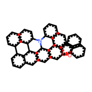 c1ccc(-c2cccc3cccc(-c4ccccc4N(c4ccccc4-c4cccc5c4oc4ccccc45)c4ccccc4-c4cccc5oc6ccccc6c45)c23)cc1